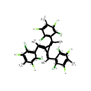 N#CC(=C1C(=C(C#N)c2c(Cl)c(F)c(C(F)(F)F)c(F)c2Cl)C1=C(C#N)c1c(Cl)c(F)c(C(F)(F)F)c(F)c1Cl)c1c(Cl)c(F)c(C(F)(F)F)c(F)c1Cl